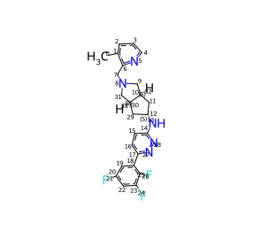 Cc1cccnc1CN1C[C@H]2C[C@H](Nc3ccc(-c4cc(F)cc(F)c4F)nn3)C[C@H]2C1